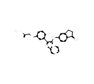 CNC(=O)COc1cccc(-c2nc3cnccn3c2Nc2ccc3c(c2)CCC3=N)c1